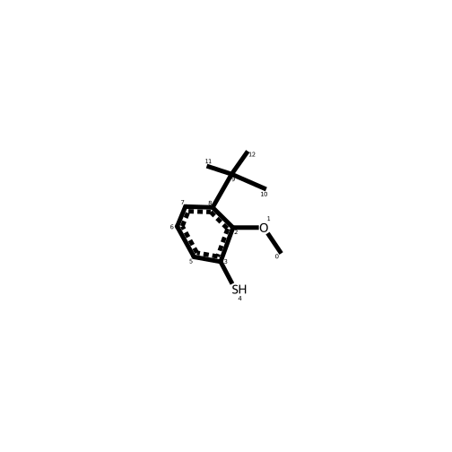 COc1c(S)cccc1C(C)(C)C